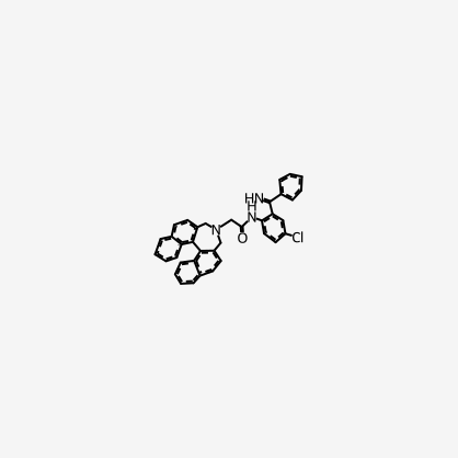 N=C(c1ccccc1)c1cc(Cl)ccc1NC(=O)CN1Cc2ccc3ccccc3c2-c2c(ccc3ccccc23)C1